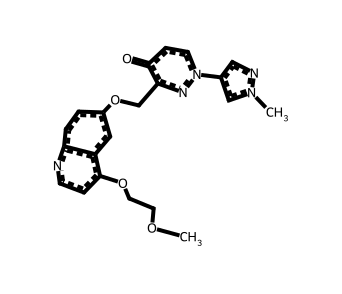 COCCOc1ccnc2ccc(OCc3nn(-c4cnn(C)c4)ccc3=O)cc12